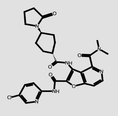 CN(C)C(=O)c1nccc2oc(C(=O)Nc3ccc(Cl)cn3)c(NC(=O)[C@H]3CC[C@H](N4CCCC4=O)CC3)c12